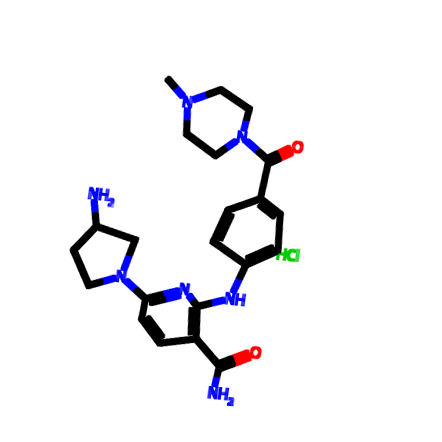 CN1CCN(C(=O)c2ccc(Nc3nc(N4CCC(N)C4)ccc3C(N)=O)cc2)CC1.Cl